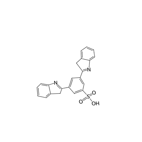 O=S(=O)(O)c1cc(C2=Nc3ccccc3C2)cc(C2=Nc3ccccc3C2)c1